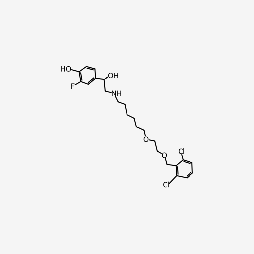 Oc1ccc([C@@H](O)CNCCCCCCOCCOCc2c(Cl)cccc2Cl)cc1F